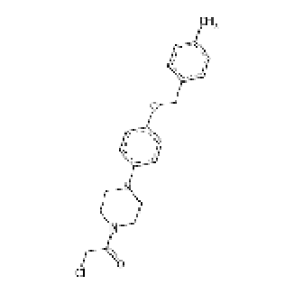 Cc1ccc(COc2ccc(N3CCN(C(=O)CCl)CC3)cc2)cc1